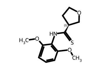 COc1cccc(OC)c1NC(=S)[C@H]1CCOC1